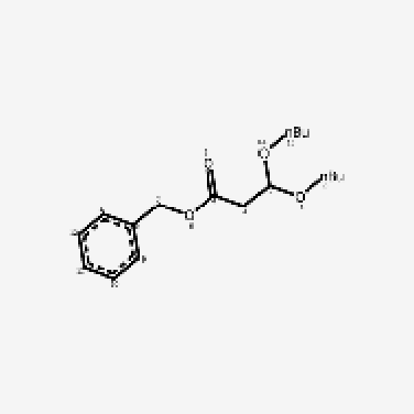 CCCCOC(CC(=O)OCc1ccccc1)OCCCC